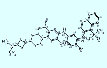 COc1cc(N2CCC(N3CC(N(C)C)C3)CC2)c(C(F)F)cc1Nc1ncc(Br)c(Nc2ccc3nccnc3c2P(C)(C)=O)n1